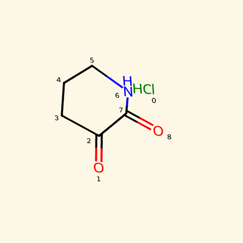 Cl.O=C1CCCNC1=O